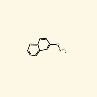 NOc1ccc2ccccc2c1